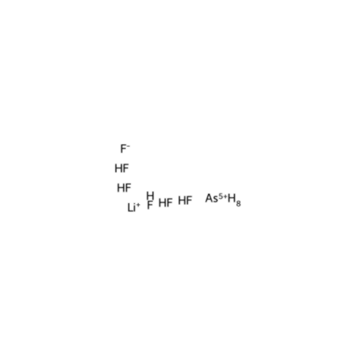 F.F.F.F.F.[AsH8+5].[F-].[Li+]